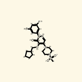 CS(=O)(=O)N1CCN(c2cnn(-c3cc(F)cc(F)c3)c(=O)c2OCC2CCCC2)CC1